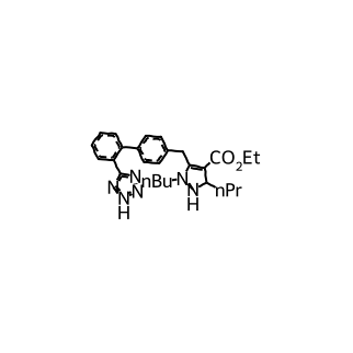 CCCCN1NC(CCC)C(C(=O)OCC)=C1Cc1ccc(-c2ccccc2-c2nn[nH]n2)cc1